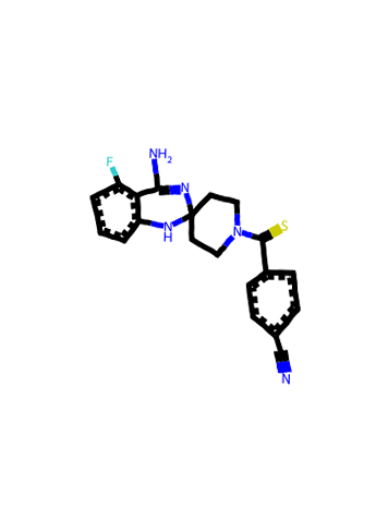 N#Cc1ccc(C(=S)N2CCC3(CC2)N=C(N)c2c(F)cccc2N3)cc1